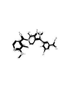 COc1nccc(C(=O)N2CCc3c(nn(C)c3-c3cc(F)cc(C(F)F)c3)[C@@H]2C)c1C